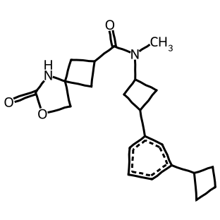 CN(C(=O)C1CC2(COC(=O)N2)C1)C1CC(c2cccc(C3CCC3)c2)C1